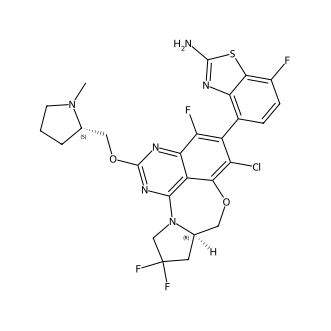 CN1CCC[C@H]1COc1nc2c3c(c(Cl)c(-c4ccc(F)c5sc(N)nc45)c(F)c3n1)OC[C@H]1CC(F)(F)CN21